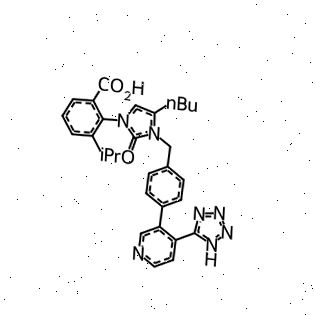 CCCCc1cn(-c2c(C(=O)O)cccc2C(C)C)c(=O)n1Cc1ccc(-c2cnccc2-c2nnn[nH]2)cc1